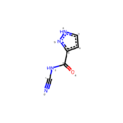 N#CNC(=O)c1cc[nH]n1